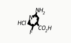 Cl.Nc1cc(C(=O)O)c(F)cn1